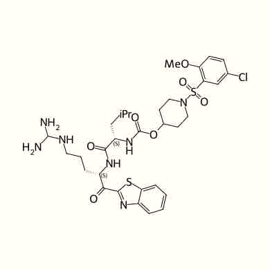 COc1ccc(Cl)cc1S(=O)(=O)N1CCC(OC(=O)N[C@@H](CC(C)C)C(=O)N[C@@H](CCCNC(N)N)C(=O)c2nc3ccccc3s2)CC1